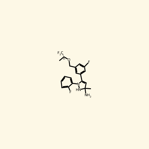 C[C@@H](OCc1cc(F)cc(C2=CC(C)(N)NN2c2ccccc2F)c1)C(F)(F)F